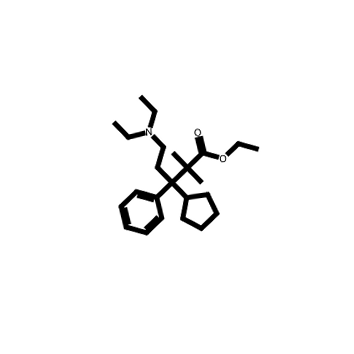 CCOC(=O)C(C)(C)C(CCN(CC)CC)(c1ccccc1)C1CCCC1